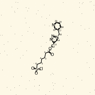 O=C(CCCCCS(=O)(=O)Cl)OCc1cn(Cc2cccnc2)nn1